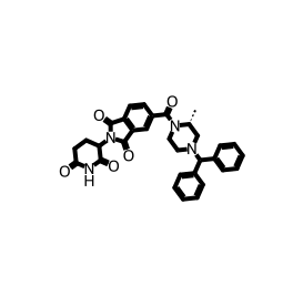 C[C@@H]1CN(C(c2ccccc2)c2ccccc2)CCN1C(=O)c1ccc2c(c1)C(=O)N(C1CCC(=O)NC1=O)C2=O